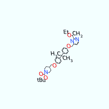 C=C(OCC)c1nccc(COc2ccc(C(C)(C)c3ccc(OCC4CCN(C(=O)OC(C)(C)C)CC4)cc3)cc2)n1